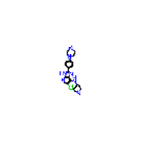 CN1CCC(Nc2c(Cl)cnc3[nH]c(-c4ccc(N5CCN(C)CC5)cc4)nc23)CC1